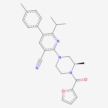 Cc1ccc(-c2cc(C#N)c(N3CCN(C(=O)c4ccco4)[C@H](C)C3)nc2C(C)C)cc1